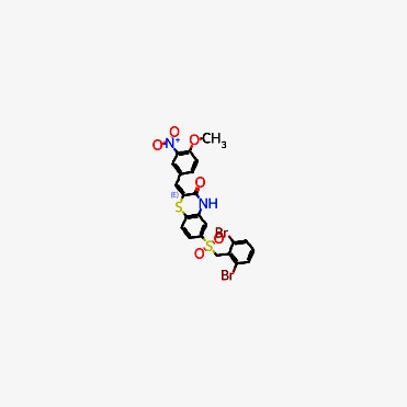 COc1ccc(/C=C2/Sc3ccc(S(=O)(=O)Cc4c(Br)cccc4Br)cc3NC2=O)cc1[N+](=O)[O-]